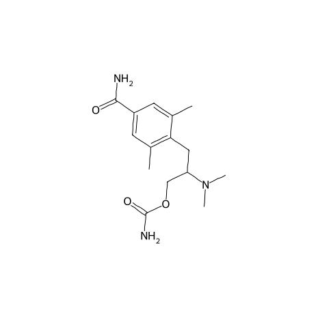 Cc1cc(C(N)=O)cc(C)c1CC(COC(N)=O)N(C)C